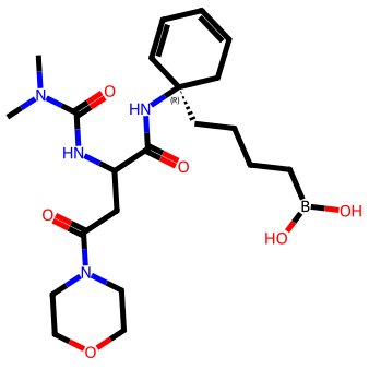 CN(C)C(=O)NC(CC(=O)N1CCOCC1)C(=O)N[C@@]1(CCCCB(O)O)C=CC=CC1